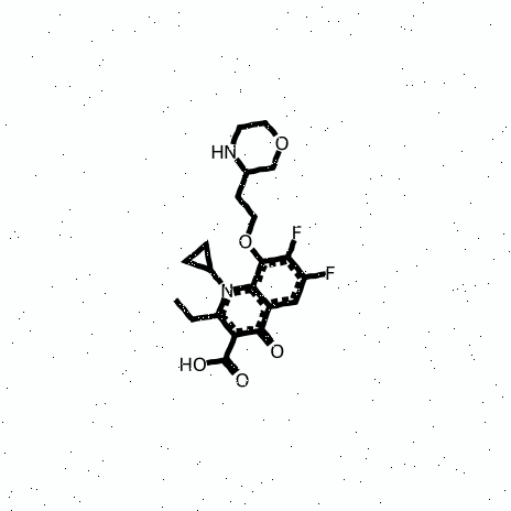 CCc1c(C(=O)O)c(=O)c2cc(F)c(F)c(OCCC3COCCN3)c2n1C1CC1